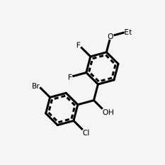 CCOc1ccc(C(O)c2cc(Br)ccc2Cl)c(F)c1F